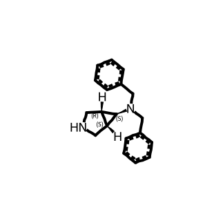 c1ccc(CN(Cc2ccccc2)[C@H]2[C@@H]3CNC[C@@H]32)cc1